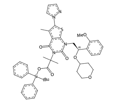 COc1ccccc1[C@H](Cn1c(=O)n(C(C)(C)C(=O)O[Si](c2ccccc2)(c2ccccc2)C(C)(C)C)c(=O)c2c(C)c(-n3cccn3)sc21)OC1CCOCC1